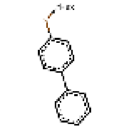 [CH2]CCCCCSc1ccc(-c2ccccc2)cc1